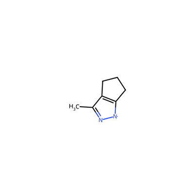 CC1=N[N]C2=C1CCC2